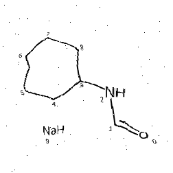 O=CNC1CCCCC1.[NaH]